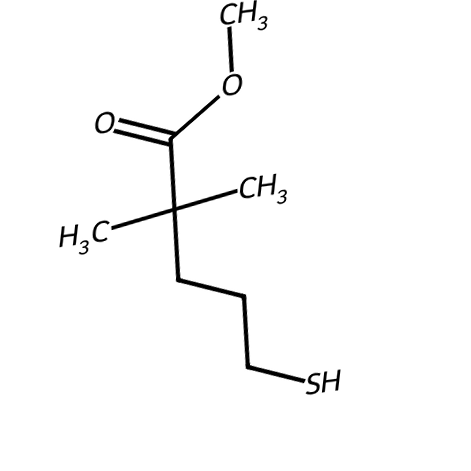 COC(=O)C(C)(C)CCCS